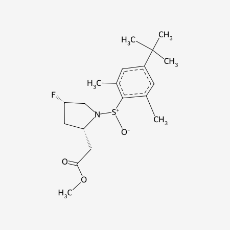 COC(=O)C[C@@H]1C[C@H](F)CN1[S+]([O-])c1c(C)cc(C(C)(C)C)cc1C